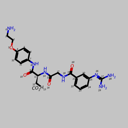 NCCOc1ccc(NC(=O)[C@H](CC(=O)O)NC(=O)CNC(=O)c2cccc(N=C(N)N)c2)cc1